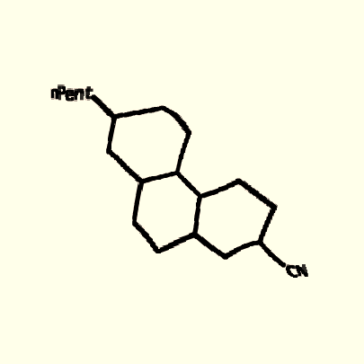 CCCCCC1CCC2C(CCC3CC(C#N)CCC32)C1